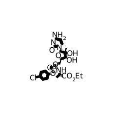 CCOC(=O)[C@H](C)NP(=O)(OC[C@H]1O[C@@H](n2ccc(N)nc2=O)[C@](C)(O)[C@@H]1O)Oc1ccc(Cl)cc1